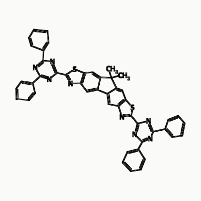 CC1(C)c2cc3sc(-c4nc(-c5ccccc5)nc(-c5ccccc5)n4)nc3cc2-c2cc3nc(-c4nc(-c5ccccc5)nc(-c5ccccc5)n4)sc3cc21